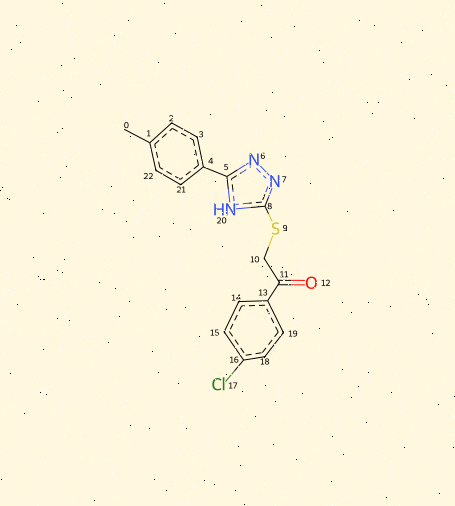 Cc1ccc(-c2nnc(SCC(=O)c3ccc(Cl)cc3)[nH]2)cc1